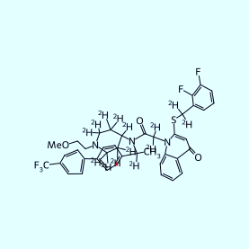 [2H]C([2H])(Sc1cc(=O)c2ccccc2n1C([2H])([2H])C(=O)N(C([2H])(C)c1ccc(-c2ccc(C(F)(F)F)cc2)cc1)C1([2H])C([2H])([2H])C([2H])([2H])N(CCOC)C([2H])([2H])C1([2H])[2H])c1cccc(F)c1F